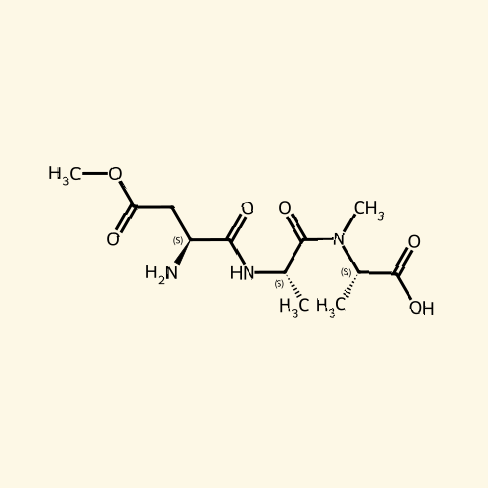 COC(=O)C[C@H](N)C(=O)N[C@@H](C)C(=O)N(C)[C@@H](C)C(=O)O